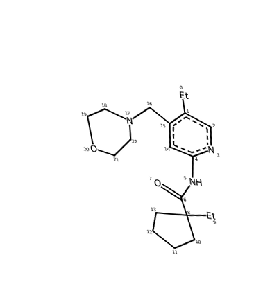 CCc1cnc(NC(=O)C2(CC)CCCC2)cc1CN1CCOCC1